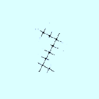 CC(F)(C(F)(F)F)C(F)(F)C(F)(F)C(F)(F)C(C)(F)C(F)(F)C(O)(F)F